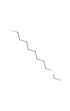 CC(C)CNCCCCCCCCN